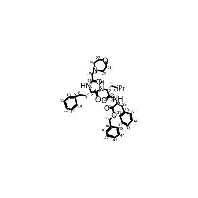 CC(C)C[C@@H](NC(=O)[C@H](CCc1ccccc1)NC(=O)CN1CCOCC1)C(=O)N[C@@H](Cc1ccccc1)C(=O)OCc1ccccc1